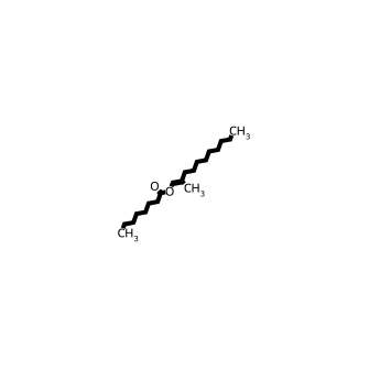 CCCCCCCCC/C(C)=C/OC(=O)CCCCCCC